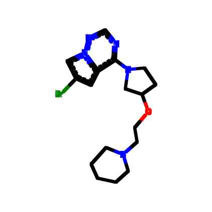 Brc1cc2c(N3CCC(OCCN4CCCCC4)C3)ncnn2c1